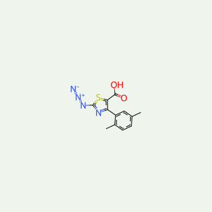 Cc1ccc(C)c(-c2nc(N=[N+]=[N-])sc2C(=O)O)c1